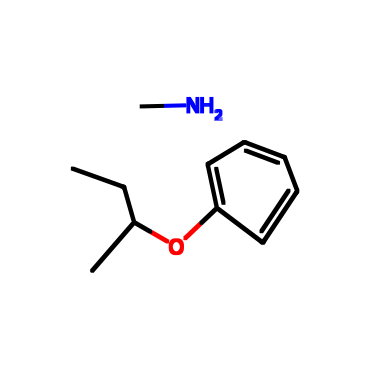 CCC(C)Oc1ccccc1.CN